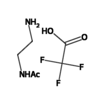 CC(=O)NCCN.O=C(O)C(F)(F)F